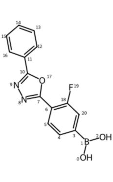 OB(O)c1ccc(-c2nnc(-c3ccccc3)o2)c(F)c1